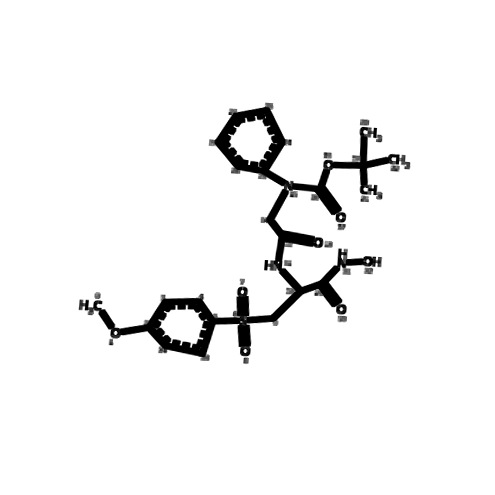 COc1ccc(S(=O)(=O)CC(NC(=O)CN(C(=O)OC(C)(C)C)c2ccccc2)C(=O)NO)cc1